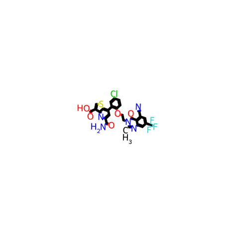 Cc1nc2cc(C(F)(F)F)cc(C#N)c2c(=O)n1CCOc1ccc(Cl)cc1-c1cc(C(N)=O)nc2c(C(=O)O)csc12